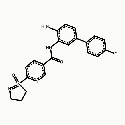 Nc1ccc(-c2ccc(F)cc2)cc1NC(=O)c1ccc(S2(=O)=NCCC2)nc1